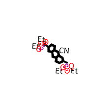 CCOC(OCC)(P=O)c1ccc2c(C#N)c3cc(CP(=O)(OCC)OCC)ccc3cc2c1